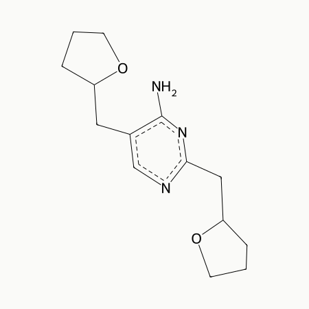 Nc1nc(CC2CCCO2)ncc1CC1CCCO1